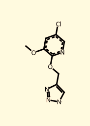 COc1cc(Cl)cnc1OCC1=C[N]N=N1